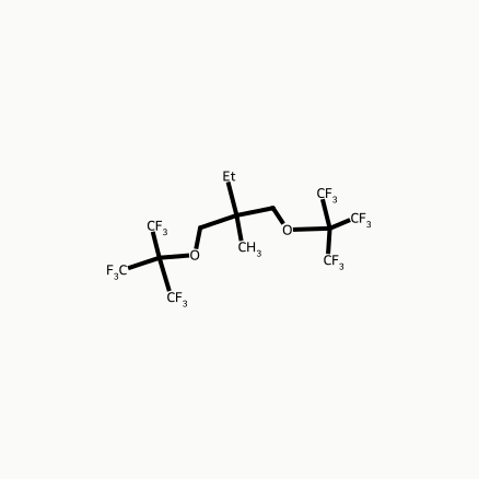 CCC(C)(COC(C(F)(F)F)(C(F)(F)F)C(F)(F)F)COC(C(F)(F)F)(C(F)(F)F)C(F)(F)F